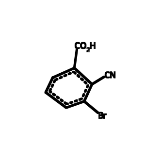 N#Cc1c(Br)cccc1C(=O)O